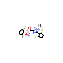 Cn1nc(C(=O)NS(=O)(=O)c2c(Cl)cccc2Cl)nc1-c1c(F)cccc1F